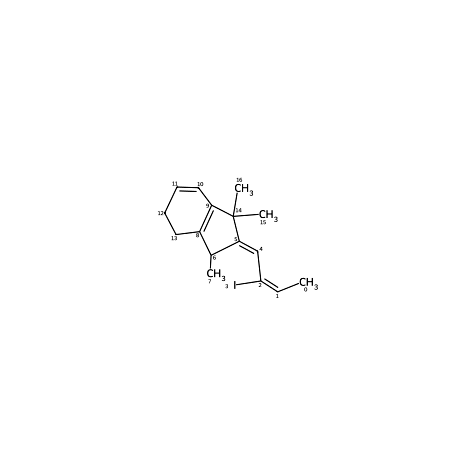 C/C=C(I)\C=C1/C(C)C2=C(C=CCC2)C1(C)C